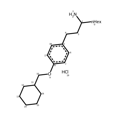 CCCCCCC(N)CCc1ccc(OCC2CCCCC2)cc1.Cl